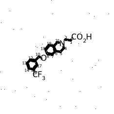 O=C(O)CCN1CCc2cc(OCc3cccc(C(F)(F)F)c3)ccc2C1